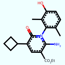 CCOC(=O)c1cc(C2CCC2)c(=O)n(-c2c(C)ccc(O)c2C)c1N